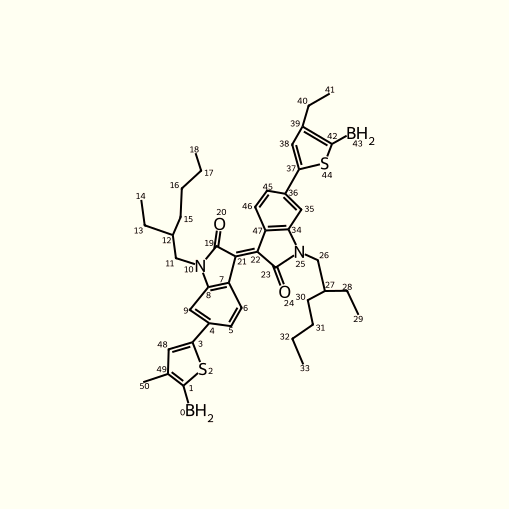 Bc1sc(-c2ccc3c(c2)N(CC(CC)CCCC)C(=O)/C3=C2/C(=O)N(CC(CC)CCCC)c3cc(-c4cc(CC)c(B)s4)ccc32)cc1C